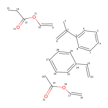 C=C(C)c1ccccc1.C=COC(=O)CC.C=COC(C)=O.C=Cc1ccccc1